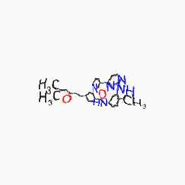 CC(C)=CC(=O)CCc1ccc(C(=O)Nc2ccc(C)c(Nc3nccc(-c4cccnc4)n3)c2)cc1